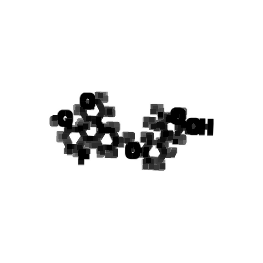 COc1ccc(F)c(-c2ccc(COc3cccc([C@@H](CC(=O)O)C4(C)CC4)c3)cc2C2=CCOCC2)c1